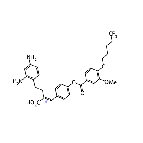 COc1cc(C(=O)Oc2ccc(/C=C(\CCc3ccc(N)cc3N)C(=O)O)cc2)ccc1OCCCCC(F)(F)F